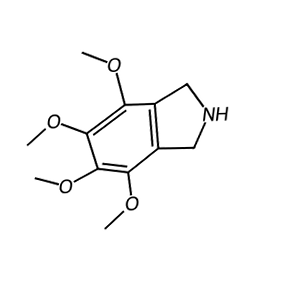 COc1c2c(c(OC)c(OC)c1OC)CNC2